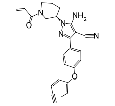 C#C/C=C\C(=C/C)Oc1ccc(-c2nn([C@@H]3CCCN(C(=O)C=C)C3)c(N)c2C#N)cc1